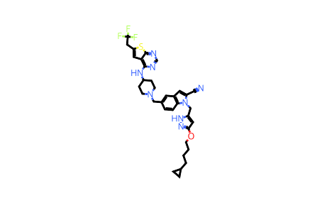 N#Cc1cc2cc(CN3CCC(Nc4ncnc5sc(CC(F)(F)F)cc45)CC3)ccc2n1Cc1cc(OCCCCC2CC2)n[nH]1